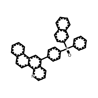 O=P(c1ccccc1)(c1ccc(-c2cc3c4ccccc4ccc3c3ncccc23)cc1)c1ccc2ccccc2c1